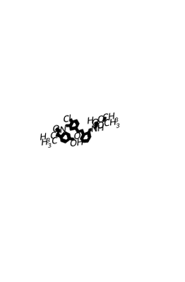 CC(C)(C)OC(=O)NCc1ccccc1CCc1ccc(Cl)c(CN2C(=O)C(C)(C)c3ccc(C(=O)O)cc32)c1